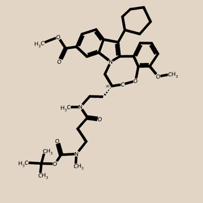 COC(=O)c1ccc2c(C3CCCCC3)c3n(c2c1)C[C@@H](CCN(C)C(=O)CCN(C)C(=O)OC(C)(C)C)COc1c(OC)cccc1-3